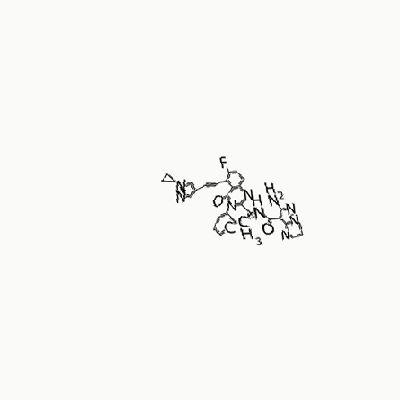 C[C@H](NC(=O)c1c(N)nn2cccnc12)c1nc2ccc(F)c(C#Cc3cnn(C4CC4)c3)c2c(=O)n1-c1ccccc1